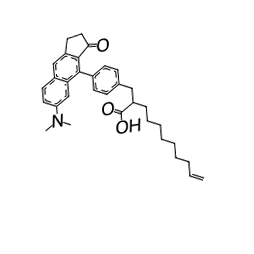 C=CCCCCCCCC(Cc1ccc(-c2c3c(cc4ccc(N(C)C)cc24)CCC3=O)cc1)C(=O)O